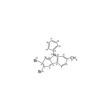 Cc1ccc2c3cc(Br)c(Br)cc3n(-c3ccccc3)c2c1